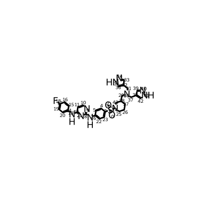 O=S(=O)(c1ccc(Nc2nccc(Nc3ccc(F)cc3)n2)cc1)N1CCCC(CN(Cc2cn[nH]c2)Cc2cn[nH]c2)C1